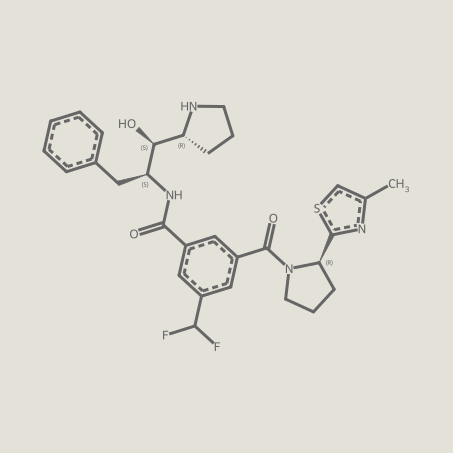 Cc1csc([C@H]2CCCN2C(=O)c2cc(C(=O)N[C@@H](Cc3ccccc3)[C@@H](O)[C@H]3CCCN3)cc(C(F)F)c2)n1